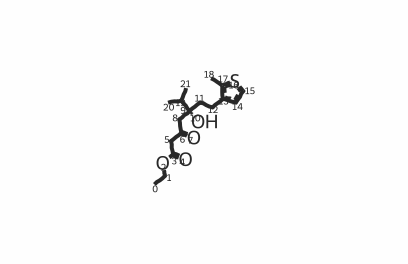 CCOC(=O)CC(=O)C[C@@](O)(CCc1ccsc1C)C(C)C